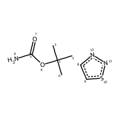 CC(C)(C)OC(N)=O.c1csnn1